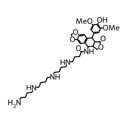 COc1cc(C2c3cc4c(cc3C(NC(=O)CCCNCCCCNCCCCNCCCCN)C3COC(=O)C23)OCO4)cc(OC)c1O